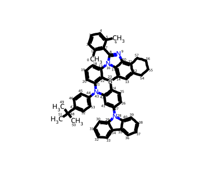 Cc1cccc(C)c1-c1nc2c3c(cc4c2n1-c1cccc2c1B4c1ccc(-n4c5ccccc5c5ccccc54)cc1N2c1ccc(C(C)(C)C)cc1)CCCC3